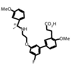 COc1cccc([C@@H](C)NCCOc2cc(F)cc(-c3ccc(OC)c(CCC(=O)O)c3)c2)c1